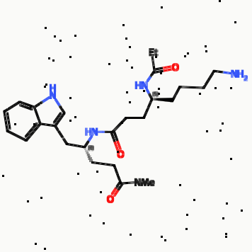 CCC(=O)N[C@@H](CCCCN)CCC(=O)N[C@H](CCC(=O)NC)Cc1c[nH]c2ccccc12